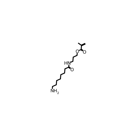 C=C(C)C(=O)OCCCNC(=O)CCCCCCCN